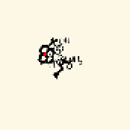 CC(C)(C)N(C(=O)O)[C@H](C(=O)N1c2ccccc2C[C@H]1C(=O)NC(CC1CC1)C(=O)C(N)=O)C1CCCCC1